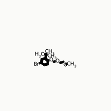 COCCOCOc1ccc(Br)cc1C(C)(C)C